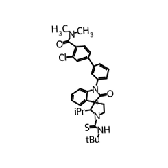 CC(C)C1N(C(=S)NC(C)(C)C)CC[C@@]12C(=O)N(c1cccc(-c3ccc(C(=O)N(C)C)c(Cl)c3)c1)c1ccccc12